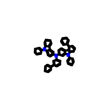 c1ccc(-c2cccc(N(c3ccc4c(c3)c3ccccc3n4-c3ccccc3)c3ccc4c5c(-c6ccccc6)cccc5n(-c5ccccc5)c4c3)c2)cc1